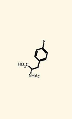 CC(=O)N[C@H](Cc1ccc(F)cc1)C(=O)O